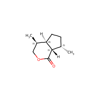 C[C@@H]1COC(=O)[C@@H]2[C@@H]1CC[C@@H]2C